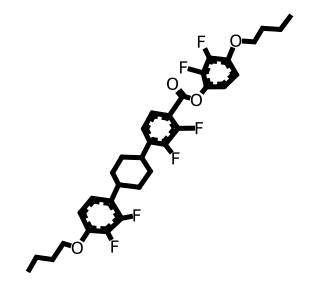 CCCCOc1ccc(OC(=O)c2ccc(C3CCC(c4ccc(OCCCC)c(F)c4F)CC3)c(F)c2F)c(F)c1F